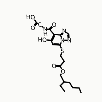 CCCCC(CC)COC(=O)CCSc1cc(O)c(C(=O)NCC(=O)O)c2ncnn12